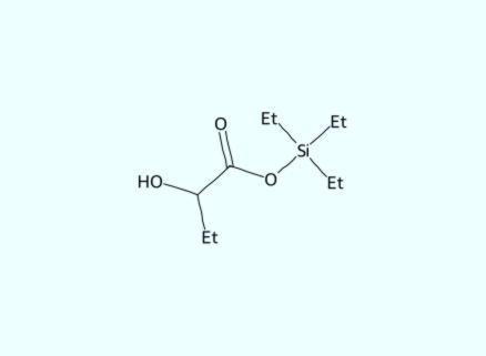 CCC(O)C(=O)O[Si](CC)(CC)CC